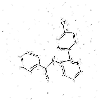 O=C(Nc1cccnc1-c1ccc(C(F)(F)F)cc1)c1ccccc1